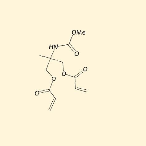 C=CC(=O)OCC(C)(COC(=O)C=C)NC(=O)OC